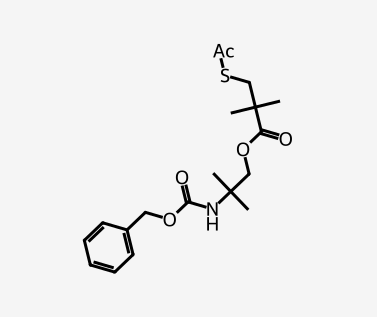 CC(=O)SCC(C)(C)C(=O)OCC(C)(C)NC(=O)OCc1ccccc1